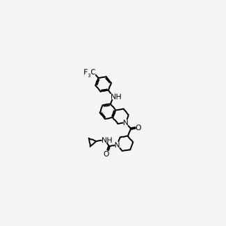 O=C(NC1CC1)N1CCCC(C(=O)N2CCc3c(cccc3Nc3ccc(C(F)(F)F)cc3)C2)C1